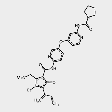 C=CC(=C)n1c(=O)c(C(=O)Nc2ccc(Oc3ccnc(NC(=O)N4CCCC4)c3)cn2)c(CNC)n1CC